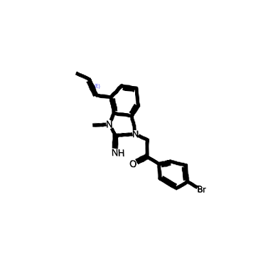 C/C=C/c1cccc2c1n(C)c(=N)n2CC(=O)c1ccc(Br)cc1